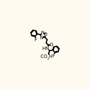 O=C(O)CC(NC(=O)CCc1nc(-c2ccccc2F)no1)c1ccccc1F